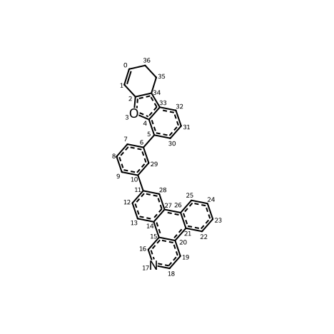 C1=Cc2oc3c(-c4cccc(-c5ccc6c7cnccc7c7ccccc7c6c5)c4)cccc3c2CC1